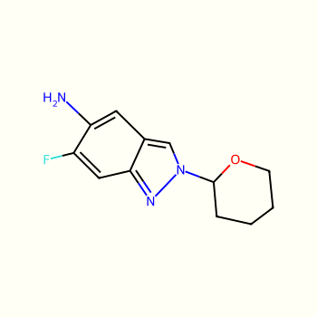 Nc1cc2cn(C3CCCCO3)nc2cc1F